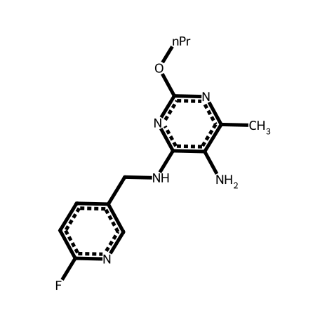 CCCOc1nc(C)c(N)c(NCc2ccc(F)nc2)n1